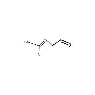 O=[C]CC=C(Br)Br